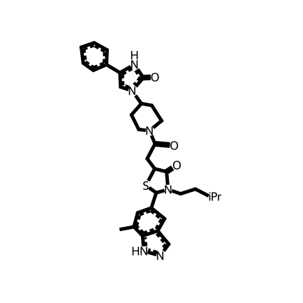 Cc1cc(C2SC(CC(=O)N3CCC(n4cc(-c5ccccc5)[nH]c4=O)CC3)C(=O)N2CCC(C)C)cc2cn[nH]c12